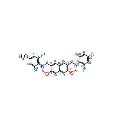 Cc1cc(F)c(N2COc3cc4cc5c(cc4cc3C2)CN(c2c(F)cc(F)cc2F)CO5)c(F)c1